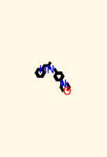 CC(Cc1ccccc1)NCc1ccc(N2CCOCC2)cc1